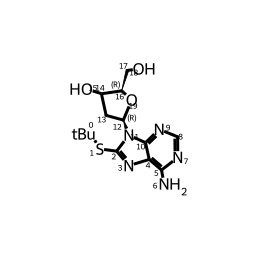 CC(C)(C)Sc1nc2c(N)ncnc2n1[C@H]1CC(O)[C@@H](CO)O1